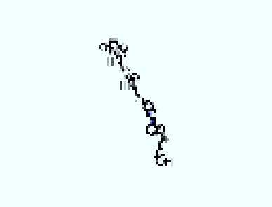 C=C1CC[C@H](OCCCNC(=O)COCCNC(=O)CN2C(=O)C=CC2=O)C/C1=C/C=C1\CCC[C@]2(C)[C@@H]([C@H](C)CCCC(C)(C)O)CC[C@@H]12